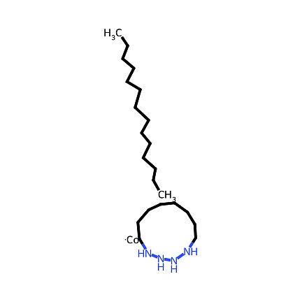 C1CCCCNNNNCCC1.CCCCCCCCCCCCCC.[Co]